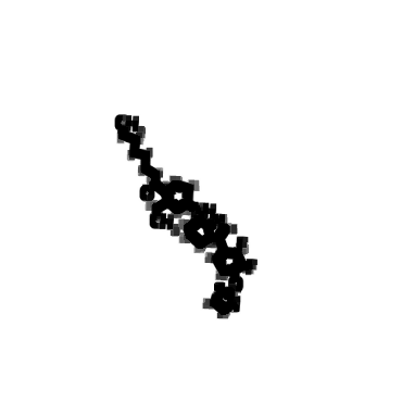 C=CCCCCCC(=O)c1ccc(NC2=CC=CC3C(c4ccc(Oc5nccs5)c(F)c4F)=CN=C23)cc1CC